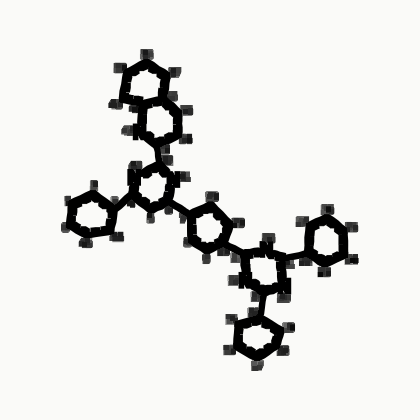 c1ccc(-c2cc(-c3ccc(-c4nc(-c5ccccc5)nc(-c5ccccc5)n4)cc3)nc(-c3ccc4ccccc4n3)n2)cc1